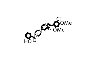 COc1cc(OC)c(-c2cn3ccc(N4CCN(C(=O)c5ccccc5O)CC4)cc3n2)cc1Cl